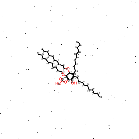 CCCCCCCCCCOc1c(CCCCCCCCCC)c(CCCCCCCCCC)c(O)c(OC(=O)O)c1OCCCCCCCCCC